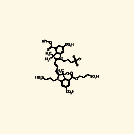 CCCOC(=O)c1cc(C(=O)O)cc2c1C(C)(C)C(/C=C/C=C1/N(CCCS(=O)(=O)O)c3cc(C(=O)O)cc(C(=O)OCCCS(=O)(=O)O)c3C1(C)C)=[N+]2CCCS(=O)(=O)[O-]